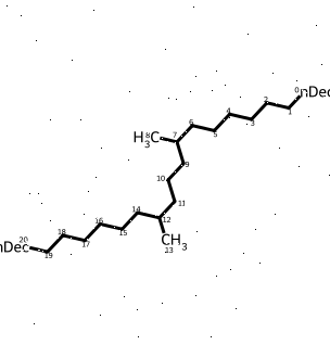 CCCCCCCCCCCCCCCCC(C)CCCC(C)CCCCCCCCCCCCCCCC